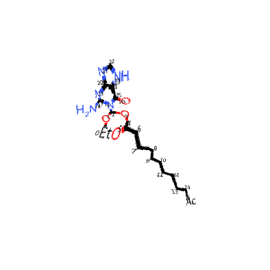 CCOC(OC(=O)CCCCCCCCCC(C)=O)n1c(N)nc2nc[nH]c2c1=O